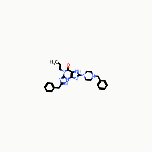 CCCn1c(=O)c2[nH]c(N3CCN(Cc4ccccc4)CC3)nc2n2nc(Cc3ccccc3)nc12